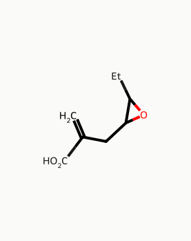 C=C(CC1OC1CC)C(=O)O